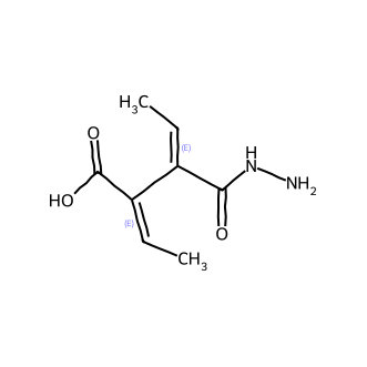 C/C=C(C(=O)O)\C(=C/C)C(=O)NN